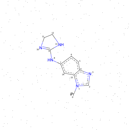 CC(C)n1cnc2ccc(NC3=NCCN3)cc21